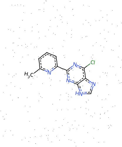 Cc1cccc(-c2nc(Cl)c3nc[nH]c3n2)n1